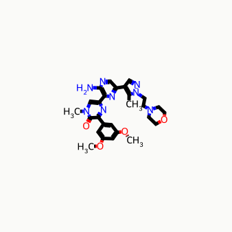 COc1cc(OC)cc(-c2nc(-c3nc(-c4cnn(CCN5CCOCC5)c4C)cnc3N)cn(C)c2=O)c1